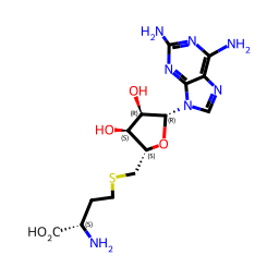 Nc1nc(N)c2ncn([C@@H]3O[C@H](CSCC[C@H](N)C(=O)O)[C@@H](O)[C@H]3O)c2n1